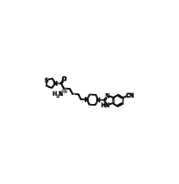 N#Cc1ccc2[nH]c(N3CCN(CCCC[C@H](N)C(=O)N4CCSC4)CC3)nc2c1